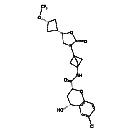 O=C(NC12CC(N3CC([C@H]4C[C@@H](OC(F)(F)F)C4)OC3=O)(C1)C2)[C@H]1C[C@@H](O)c2cc(Cl)ccc2O1